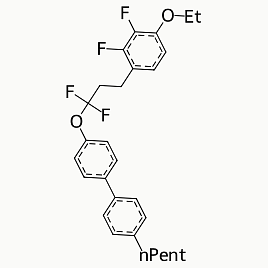 CCCCCc1ccc(-c2ccc(OC(F)(F)CCc3ccc(OCC)c(F)c3F)cc2)cc1